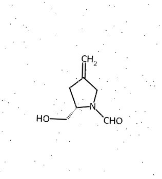 C=C1C[C@@H](CO)N(C=O)C1